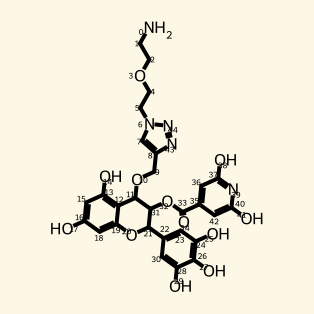 NCCOCCn1cc(COC2c3c(O)cc(O)cc3OC(c3cc(O)c(O)c(O)c3)C2OC(=O)c2cc(O)nc(O)c2)nn1